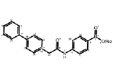 CO[N+](=O)c1ccc(NC(=O)C[n+]2ccc(-c3ccccc3)cc2)cc1